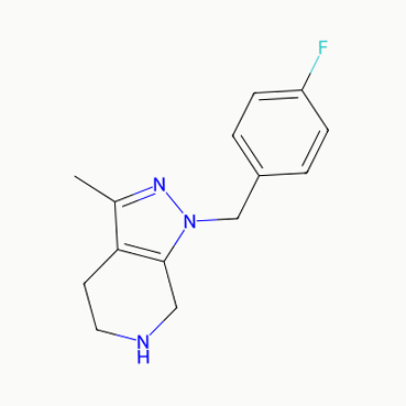 Cc1nn(Cc2ccc(F)cc2)c2c1CCNC2